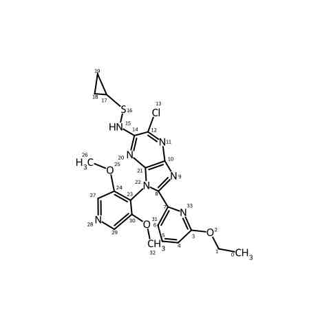 CCOc1cccc(-c2nc3nc(Cl)c(NSC4CC4)nc3n2-c2c(OC)cncc2OC)n1